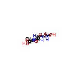 COc1cc(/C=N/NC(=O)c2ccc(C(=O)NCCC(=O)NCCO)cc2)ccc1O